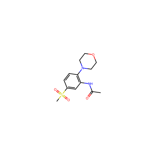 CC(=O)Nc1cc(S(C)(=O)=O)ccc1N1CCOCC1